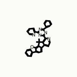 CC1(C)c2c(ccnc2-c2nc(-c3ccccc3)nc(-c3ccccn3)n2)-c2ccc3c(oc4ccccc43)c21